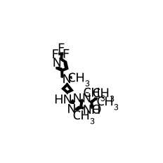 Cc1nc(N[C@H]2C[C@H](N(C)Cc3ccc(C(F)(F)F)nc3)C2)nc2c1NC(=O)C(C(C)C)N2C